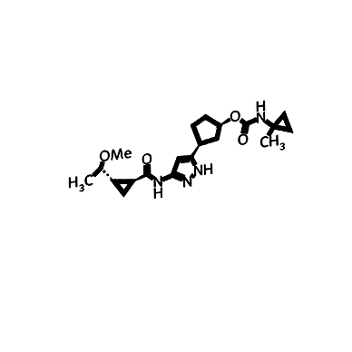 COC(C)[C@H]1C[C@@H]1C(=O)Nc1cc([C@H]2CC[C@@H](OC(=O)NC3(C)CC3)C2)[nH]n1